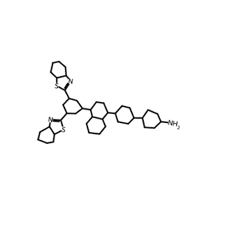 NC1CCC(C2CCC(C3CCC(C4CC(C5=NC6CCCCC6S5)CC(C5=NC6CCCCC6S5)C4)C4CCCCC34)CC2)CC1